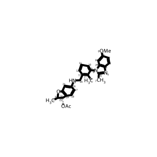 COc1ccc2nc(C)n(-c3cccc(CNc4ccc5c(c4)OC(C)[C@H]5OC(C)=O)c3C)c2c1